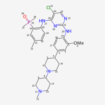 COc1cc(C2CCN(C3CCN(C)CC3)CC2)ccc1Nc1ncc(Cl)c(Nc2ccc(C)cc2P(C)(C)=O)n1